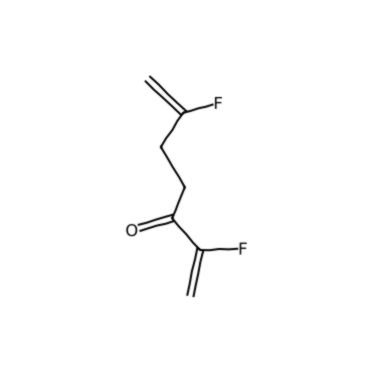 C=C(F)CCC(=O)C(=C)F